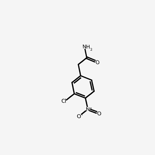 NC(=O)Cc1ccc([N+](=O)[O-])c(Cl)c1